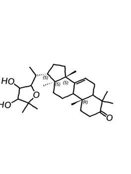 CC(C1OC(C)(C)C(O)C1O)[C@@H]1CC[C@]2(C)C3=CCC4C(C)(C)C(=O)CC[C@]4(C)C3CC[C@@]12C